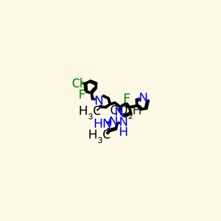 Cc1cc(Nc2cc(-c3cccnc3)c(F)c(C[C@@]3(C(=O)O)CCN(Cc4cccc(Cl)c4F)[C@H](C)C3)n2)n[nH]1